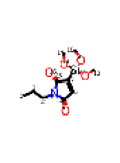 CCCN1C(=O)C=C([Si](OC)(OC)OC)C1=O